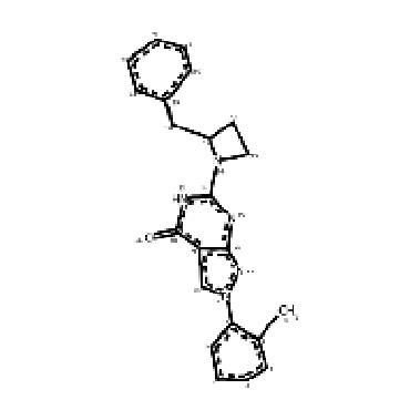 Cc1ccccc1-n1cc2c(=O)[nH]c(N3CCC3Cc3ccccc3)nc2n1